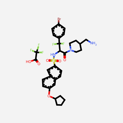 NCC1CCN(C(=O)C(NS(=O)(=O)c2ccc3cc(OC4CCCC4)ccc3c2)C(F)(F)c2ccc(Br)cc2)CC1.O=C(O)C(F)(F)F